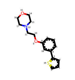 [c]1ccc(-c2cccc(OCCN3CCOCC3)c2)s1